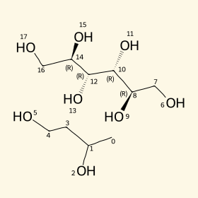 CC(O)CCO.OC[C@@H](O)[C@@H](O)[C@H](O)[C@H](O)CO